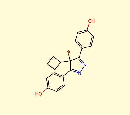 Oc1ccc(C2=NN=C(c3ccc(O)cc3)C2(Br)C2CCC2)cc1